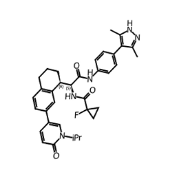 Cc1n[nH]c(C)c1-c1ccc(NC(=O)[C@@H](NC(=O)C2(F)CC2)[C@@H]2CCCc3ccc(-c4ccc(=O)n(C(C)C)c4)cc32)cc1